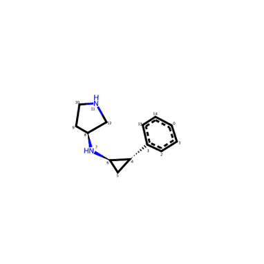 c1ccc([C@@H]2C[C@H]2N[C@H]2CCNC2)cc1